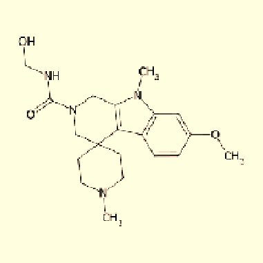 COc1ccc2c3c(n(C)c2c1)CN(C(=O)NCO)CC31CCN(C)CC1